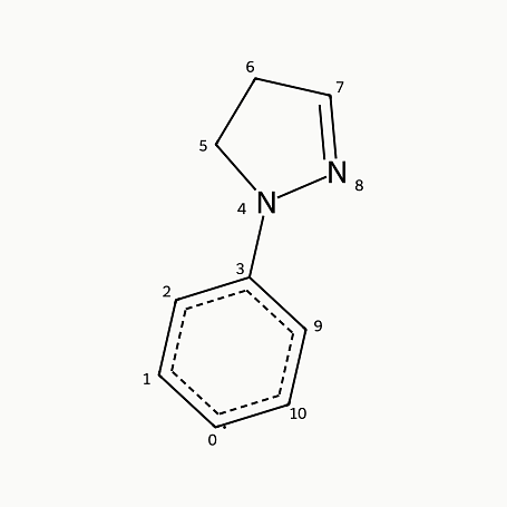 [c]1ccc(N2CCC=N2)cc1